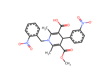 COC(=O)C1=C(C)N(Cc2ccccc2[N+](=O)[O-])C(C)=C(C(=O)O)C1c1cccc([N+](=O)[O-])c1